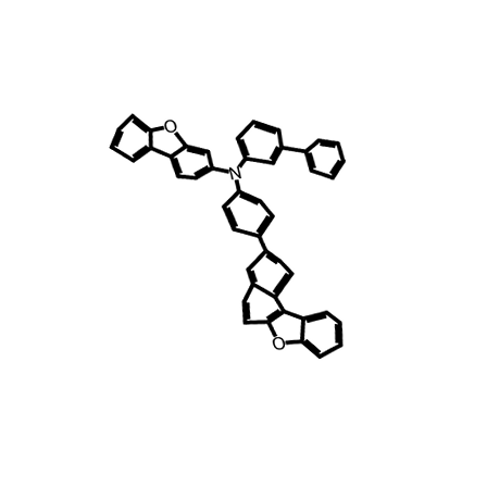 c1ccc(-c2cccc(N(c3ccc(-c4ccc5c(ccc6oc7ccccc7c65)c4)cc3)c3ccc4c(c3)oc3ccccc34)c2)cc1